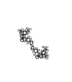 Cc1cc(OCCOc2ccc(C3C(=O)Oc4c3cc(C(C)(C)C)cc4C(C)(C)C)c(C)c2)ccc1C1C(=O)Oc2c1cc(C(C)(C)C)cc2C(C)(C)C